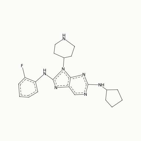 Fc1ccccc1Nc1nc2cnc(NC3CCCC3)nc2n1C1CCNCC1